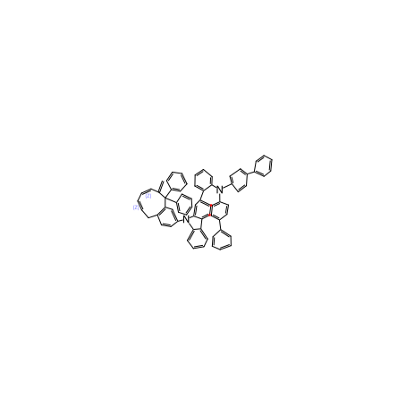 C=C1/C=C\C=C/Cc2ccc(-n3c4ccccc4c4ccc(-c5ccccc5N(c5ccc(-c6ccccc6)cc5)c5ccc(-c6ccccc6)cc5)cc43)cc2C1(c1ccccc1)c1ccccc1